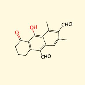 Cc1cc2c(C=O)c3c(c(O)c2c(C)c1C=O)C(=O)CCC3